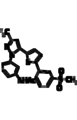 CC(=O)Nc1cccc(-n2nc(C(F)(F)F)cc2-c2ccc(-c3cccc(S(C)(=O)=O)c3)s2)c1